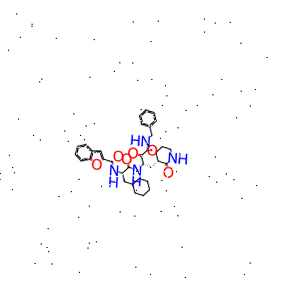 O=C(NCc1ccccc1)C(=O)[C@H](C[C@@H]1CCCNC1=O)NC(=O)[C@@H](CC1CCCCC1)NC(=O)c1cc2ccccc2o1